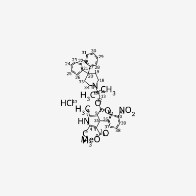 COC(=O)C1=C(C)NC(C)=C(C(=O)OCC(C)(C)N2CCC(c3ccccc3)(c3ccccc3)CC2)C1c1cccc([N+](=O)[O-])c1.Cl